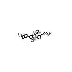 [2H]C(c1ccc(-c2ccc3c(cnn3C)c2)cc1Cl)N(C(=O)[C@@H]1C[C@@H]2CC[C@H]1C2)c1cccc(/C=C/C(=O)O)c1